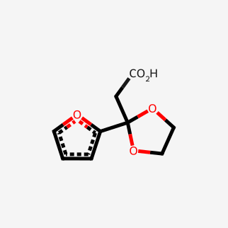 O=C(O)CC1(c2ccco2)OCCO1